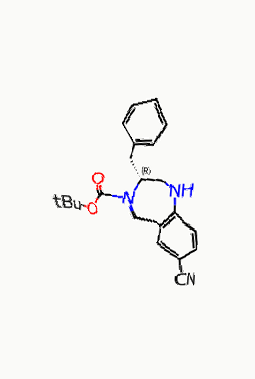 CC(C)(C)OC(=O)N1Cc2cc(C#N)ccc2NC[C@H]1Cc1ccccc1